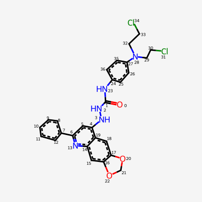 O=C(NNc1cc(-c2ccccc2)nc2cc3c(cc12)OCO3)Nc1ccc(N(CCCl)CCCl)cc1